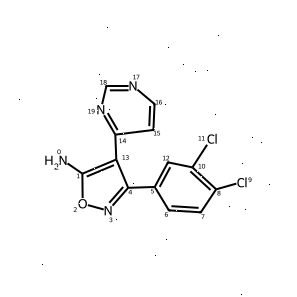 Nc1onc(-c2ccc(Cl)c(Cl)c2)c1-c1ccncn1